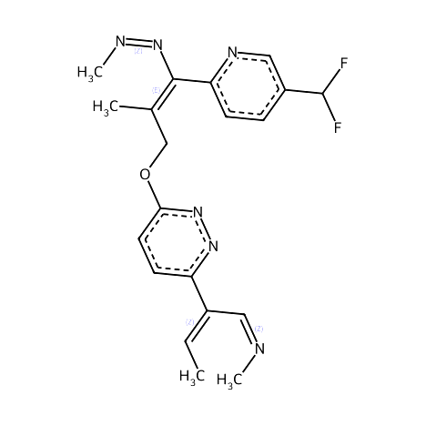 C/C=C(\C=N/C)c1ccc(OC/C(C)=C(/N=N\C)c2ccc(C(F)F)cn2)nn1